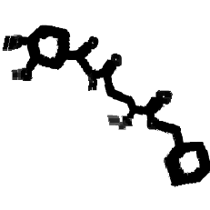 N[C@@H](CCC(=O)NC(=O)c1ccc(O)c(O)c1)C(=O)OCc1ccccc1